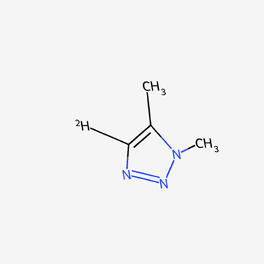 [2H]c1nnn(C)c1C